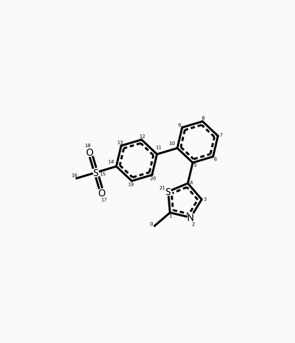 Cc1ncc(-c2ccccc2-c2ccc(S(C)(=O)=O)cc2)s1